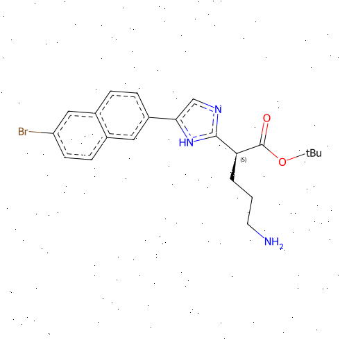 CC(C)(C)OC(=O)[C@@H](CCCN)c1ncc(-c2ccc3cc(Br)ccc3c2)[nH]1